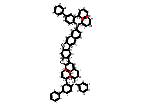 c1ccc(-c2ccc(N(c3ccccc3)c3ccc4cc5c(cc4c3)oc3cc4oc6cc7cc(N(c8ccccc8)c8ccc(-c9ccccc9)cc8-c8ccccc8)ccc7cc6c4cc35)c(-c3ccccc3)c2)cc1